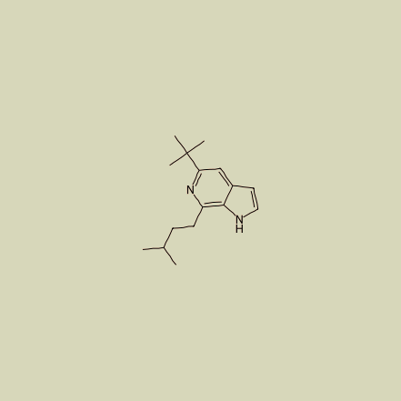 CC(C)CCc1nc(C(C)(C)C)cc2cc[nH]c12